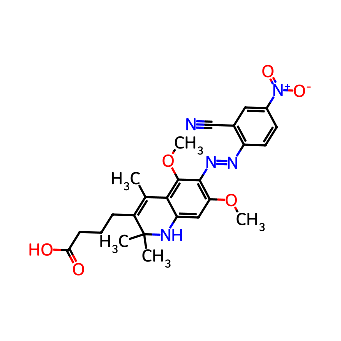 COc1cc2c(c(OC)c1/N=N/c1ccc([N+](=O)[O-])cc1C#N)C(C)=C(CCCC(=O)O)C(C)(C)N2